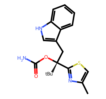 Cc1csc([C@@](Cc2c[nH]c3ccccc23)(OC(N)=O)C(C)(C)C)n1